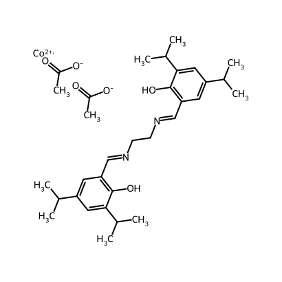 CC(=O)[O-].CC(=O)[O-].CC(C)c1cc(C=NCCN=Cc2cc(C(C)C)cc(C(C)C)c2O)c(O)c(C(C)C)c1.[Co+2]